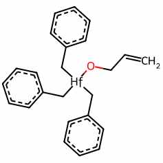 C=CC[O][Hf]([CH2]c1ccccc1)([CH2]c1ccccc1)[CH2]c1ccccc1